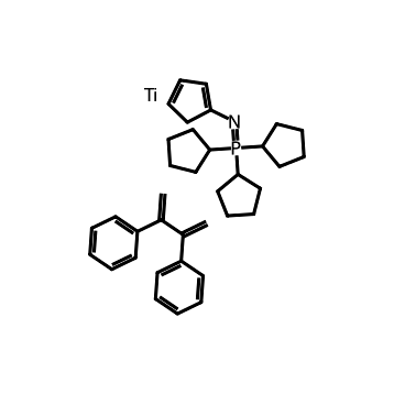 C1=CCC(N=P(C2CCCC2)(C2CCCC2)C2CCCC2)=C1.C=C(C(=C)c1ccccc1)c1ccccc1.[Ti]